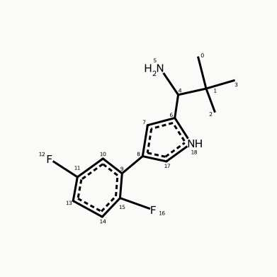 CC(C)(C)C(N)c1cc(-c2cc(F)ccc2F)c[nH]1